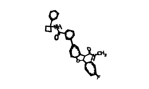 CNC(=O)C1c2cc(-c3cccc(C(=O)NC4(c5ccccc5)CCC4)c3)ccc2OC1c1ccc(F)cc1